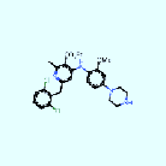 CCOC(=O)c1c(Nc2ccc(N3CCNCC3)cc2OC)cc(Cc2c(Cl)cccc2Cl)nc1C